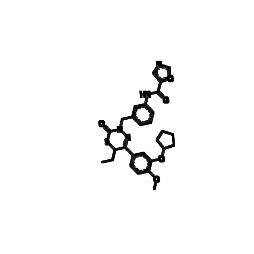 CCC1SC(=O)N(Cc2cccc(NC(=O)c3cnco3)c2)N=C1c1ccc(OC)c(OC2CCCC2)c1